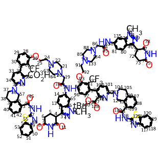 Cn1nc(C2CCC(=O)NC2=O)c2ccc(NC(=O)CN3CCN(CCOc4cccc(-c5ccc(N6CCc7cccc(C(=O)Nc8nc9ccccc9s8)c7C6)nc5C(=O)O)c4C(F)(F)F)CC3)cc21.Cn1nc(C2CCC(=O)NC2=O)c2ccc(NC(=O)CN3CCN(CCOc4cccc(-c5ccc(N6CCc7cccc(C(=O)Nc8nc9ccccc9s8)c7C6)nc5C(=O)OC(C)(C)C)c4C(F)(F)F)CC3)cc21